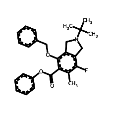 Cc1c(F)c2c(c(OCc3ccccc3)c1C(=O)Oc1ccccc1)CN(C(C)(C)C)C2